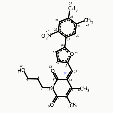 CC1=C(C#N)C(=O)N(CCCO)C(=O)/C1=C\c1ccc(-c2cc(C)c(C)cc2[N+](=O)[O-])o1